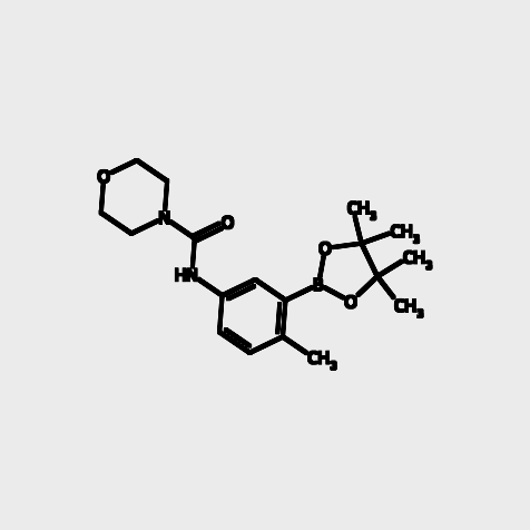 Cc1ccc(NC(=O)N2CCOCC2)cc1B1OC(C)(C)C(C)(C)O1